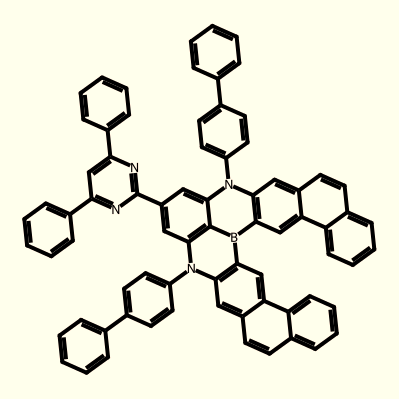 c1ccc(-c2ccc(N3c4cc5ccc6ccccc6c5cc4B4c5cc6c(ccc7ccccc76)cc5N(c5ccc(-c6ccccc6)cc5)c5cc(-c6nc(-c7ccccc7)cc(-c7ccccc7)n6)cc3c54)cc2)cc1